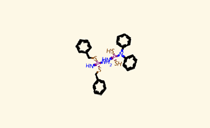 N=P(N)(SCc1ccccc1)SCc1ccccc1.N=P(S)(S)N(c1ccccc1)c1ccccc1